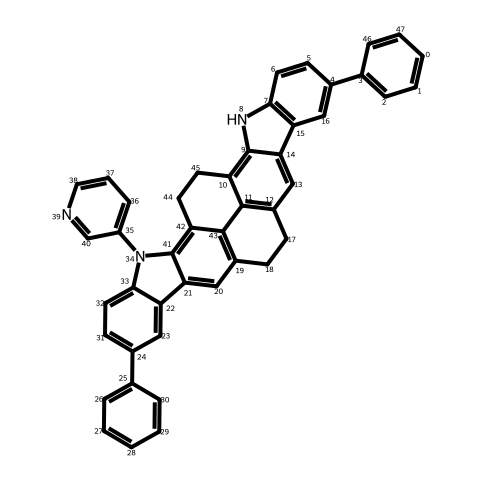 c1ccc(-c2ccc3[nH]c4c5c6c(cc4c3c2)CCc2cc3c4cc(-c7ccccc7)ccc4n(-c4cccnc4)c3c(c2-6)CC5)cc1